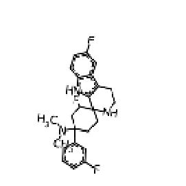 CN(C)C1(c2cccc(F)c2)CCC2(NCCc3c2[nH]c2ccc(F)cc32)C(F)C1